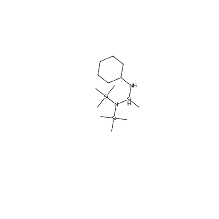 C[SiH](NC1CCCCC1)N([Si](C)(C)C)[Si](C)(C)C